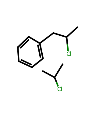 CC(C)Cl.CC(Cl)Cc1ccccc1